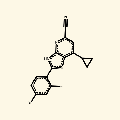 N#Cc1cc(C2CC2)c2nc(-c3ccc(Br)cc3F)[nH]c2n1